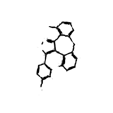 Cc1cccc2c1-c1noc(-c3ccc(O)cc3)c1-c1c(C)cccc1C2